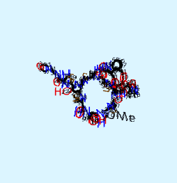 CO/C(C)=C1/NC(=O)[C@H]([C@@H](C)O)NC(=O)c2csc(n2)-c2cc(O)c(-c3nc(C(=O)NCCN4CCOCC4)cs3)nc2-c2csc(n2)[C@@H]2COC(=O)c3[nH]c4cccc5c4c3COC([C@H](O[C@H]3C[C@]4(C)OCN(C)[C@@H]4[C@H](C)O3)C(=O)OC5)[C@H](NC(=O)c3csc1n3)c1nc(cs1)C(=O)N2